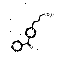 O=C(O)CCCc1ccc(C(=O)c2ccccc2)cc1